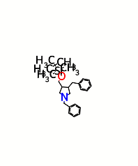 CC(C)(C)[Si](C)(C)OCC1CN(Cc2ccccc2)CC1Cc1ccccc1